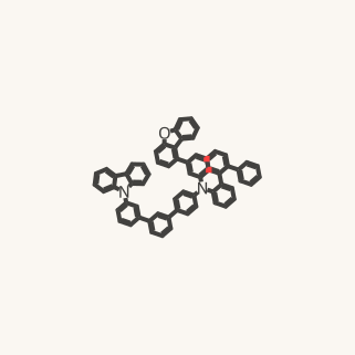 c1ccc(-c2ccccc2-c2ccccc2N(c2ccc(-c3cccc(-c4cccc(-n5c6ccccc6c6ccccc65)c4)c3)cc2)c2cccc(-c3cccc4oc5ccccc5c34)c2)cc1